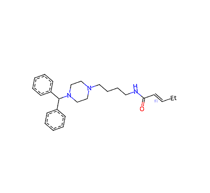 CC/C=C/C(=O)NCCCCN1CCN(C(c2ccccc2)c2ccccc2)CC1